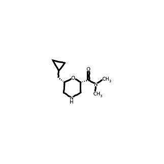 CN(C)C(=O)[C@@H]1CNC[C@H](CC2CC2)O1